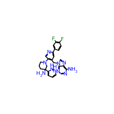 Nc1ncnc2c1ncn2Cc1cc(-c2ccc(F)c(F)c2)ncc1N1CCCC(N)(C2=CC=CNN2)C1